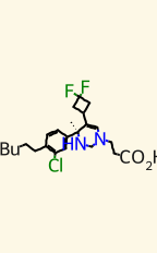 CC(C)(C)CCc1ccc([C@]2(C)NCN(CCC(=O)O)C=C2C2CC(F)(F)C2)cc1Cl